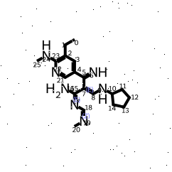 CCc1cc(C(=N)C(=C\NC2CCCC2)/C(N)=N\C=N/C)cnc1NC